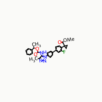 COC(=O)C1(c2ccc(-c3ccc(-n4nnc(C)c4NC(=O)O[C@H](C)c4ccccc4)cc3)cc2F)CC1